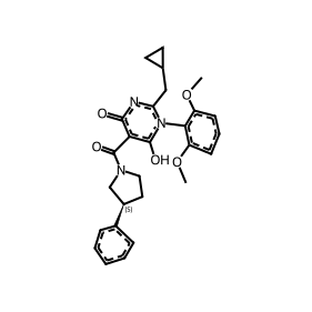 COc1cccc(OC)c1-n1c(CC2CC2)nc(=O)c(C(=O)N2CC[C@@H](c3ccccc3)C2)c1O